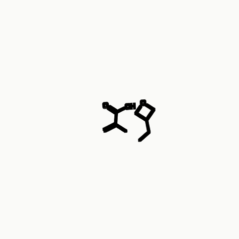 C=C(C)C(=O)O.CCC1COC1